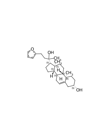 CC(O)(CCc1ccco1)[C@H]1CC[C@H]2[C@@H]3CC=C4C[C@@H](O)CC[C@]4(C)[C@H]3CC[C@]12C